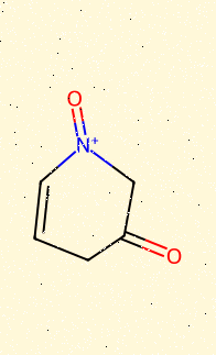 O=C1CC=C[N+](=O)C1